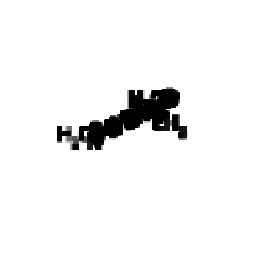 Cc1ncc(-c2ccc(N3CCN(C(=O)Cc4nc(C5(C)C=CC=CC5)sc4C)CC3)cc2)o1